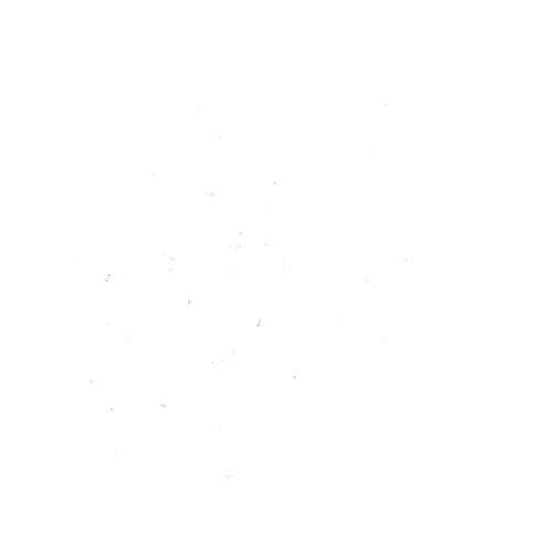 CCCCC(c1cccc(OC)c1)C(OB(OC(c1cccc(OC)c1)(c1cccc(OC)c1)C(CCCC)c1cccc(OC)c1)OC(c1cccc(OC)c1)(c1cccc(OC)c1)C(CCCC)c1cccc(OC)c1)(c1cccc(OC)c1)c1cccc(OC)c1